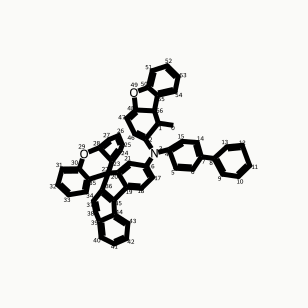 CC1C(N(c2ccc(-c3ccccc3)cc2)c2ccc3c(c2)C2(c4ccccc4Oc4ccccc42)c2ccc4ccccc4c2-3)=CC=C2Oc3ccccc3C21